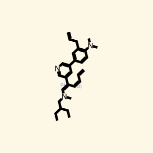 C=C/C=C\C(=C/N(C)CC(CC)CC)c1cncc(-c2ccc(N(C)C)c(CC=C)c2)c1